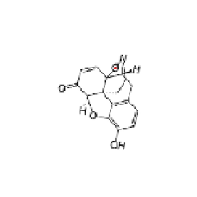 O=C1C=CC23OCN4CC[C@@]25c2c(ccc(O)c2O[C@@H]15)C[C@@H]43